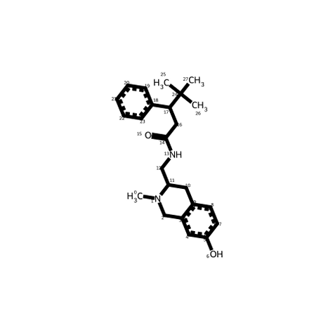 CN1Cc2cc(O)ccc2CC1CNC(=O)CC(c1ccccc1)C(C)(C)C